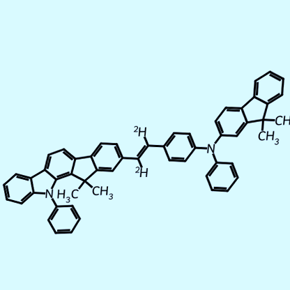 [2H]/C(=C(/[2H])c1ccc2c(c1)C(C)(C)c1c-2ccc2c3ccccc3n(-c3ccccc3)c12)c1ccc(N(c2ccccc2)c2ccc3c(c2)C(C)(C)c2ccccc2-3)cc1